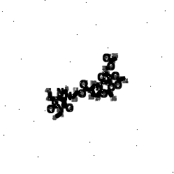 CCn1c(=O)c2c(ncn2CCOC(=O)C2=CC=CN([C@@H]3O[C@H](COC(C)=O)[C@@H](OC(C)=O)[C@H]3OC(C)=O)C2)n(CC)c1=O